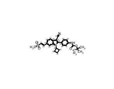 CC(C)(C)OC(=O)Nc1ccc(-c2c(C#N)c3ccc(/C=C/S(C)(=O)=O)cc3n2C2CCC2)cc1